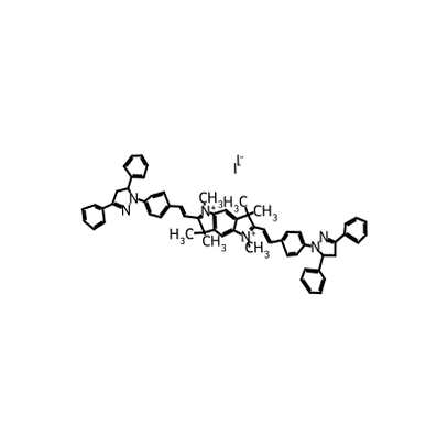 C[N+]1=C(C=Cc2ccc(N3N=C(c4ccccc4)CC3c3ccccc3)cc2)C(C)(C)c2cc3c(cc21)C(C)(C)C(C=Cc1ccc(N2N=C(c4ccccc4)CC2c2ccccc2)cc1)=[N+]3C.[I-].[I-]